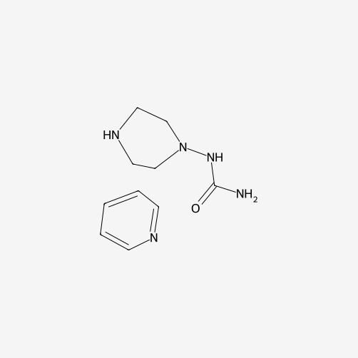 NC(=O)NN1CCNCC1.c1ccncc1